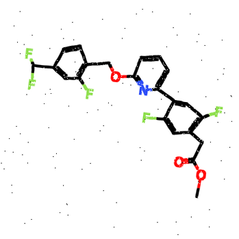 COC(=O)Cc1cc(F)c(-c2cccc(OCc3ccc(C(F)F)cc3F)n2)cc1F